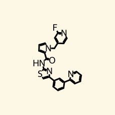 O=C(Nc1nc(-c2cccc(-c3ccccn3)c2)cs1)c1cccn1Cc1ccnc(F)c1